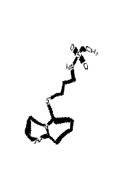 CS(=O)(=O)NCCCSc1cccc2nccn12